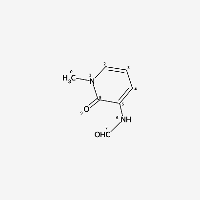 Cn1cccc(NC=O)c1=O